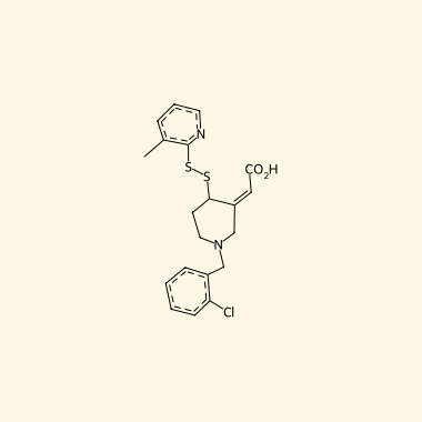 Cc1cccnc1SSC1CCN(Cc2ccccc2Cl)C/C1=C/C(=O)O